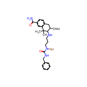 COC1Cc2ccc(C(N)=O)cc2C(C)(C)C1NCCCN(S)C(=O)NCc1ccccc1